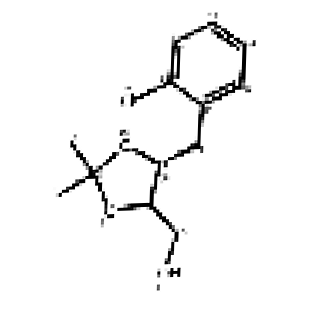 CC1(C)OC(CO)[C@H](Cc2ccccc2Cl)O1